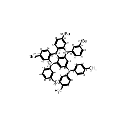 Cc1ccc(N(c2ccc(C)cc2)c2cc3c4c(c2)N(c2cccc(C(C)(C)C)c2)c2cc(C(C)(C)C)ccc2B4c2ccc(C(C)(C)C)cc2N3c2cccc(C(C)(C)C)c2)cc1